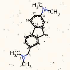 CN(C)Cc1ccc2c(c1)Cc1cc(N(C)C)ccc1-2